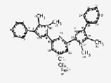 Cc1c(-c2ccccc2)nc(-c2cccc(-c3nc(-c4ccccc4)c(C)n3C)n2)n1C.[Cl-].[Cl-].[Fe+2]